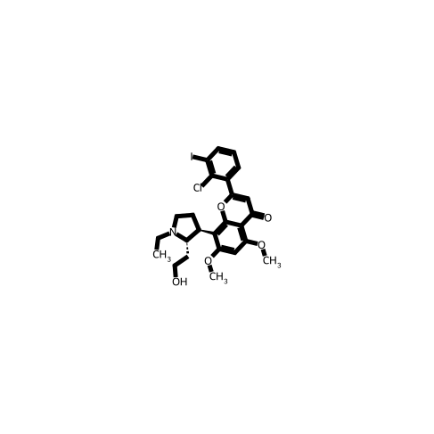 CCN1CC[C@@H](c2c(OC)cc(OC)c3c(=O)cc(-c4cccc(I)c4Cl)oc23)[C@@H]1CCO